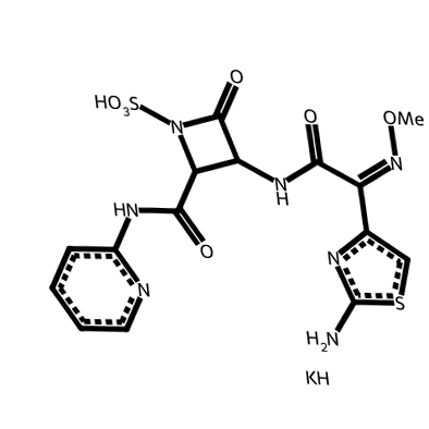 CO/N=C(\C(=O)NC1C(=O)N(S(=O)(=O)O)C1C(=O)Nc1ccccn1)c1csc(N)n1.[KH]